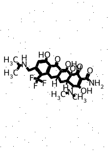 CC(C)NCc1cc(O)c2c(c1C(F)(F)F)C[C@H]1C[C@H]3[C@H](N(C)C)C(O)=C(C(N)=O)C(=O)[C@@]3(O)C(O)=C1C2=O